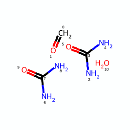 C=O.NC(N)=O.NC(N)=O.O